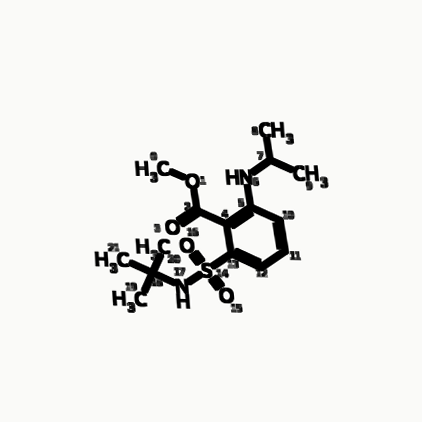 COC(=O)c1c(NC(C)C)cccc1S(=O)(=O)NC(C)(C)C